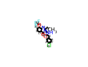 CCc1nc2c(OC(F)(F)F)cccc2c(=O)n1NC(=O)Cc1ccc(Cl)cc1